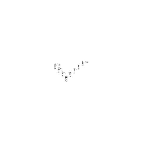 [F-].[F-].[F-].[F-].[F-].[F-].[Ir+3].[Ir+3]